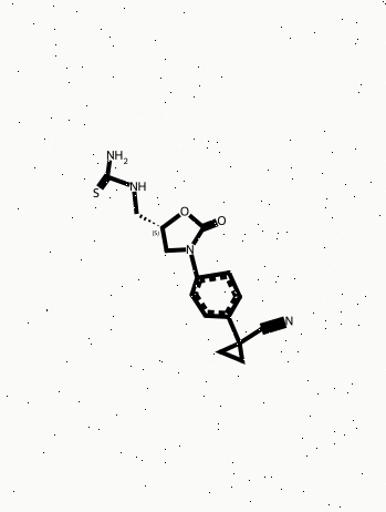 N#CC1(c2ccc(N3C[C@H](CNC(N)=S)OC3=O)cc2)CC1